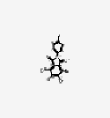 Cc1ccc(N2C(=O)c3c(Br)c(Br)c(Br)c(Br)c3C2=S)cc1